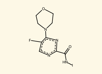 O=C(NI)c1ncc(F)c(N2CCOCC2)n1